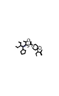 C=C1COC2(CCN(C(=C)S/C(C(C)=O)=C(/C(CC)CC)C3CCCC3)CC2)C1CC